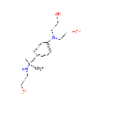 CC(NCCO)(C(=O)O)c1ccc(N(CCO)CCO)cc1